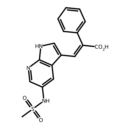 CS(=O)(=O)Nc1cnc2[nH]cc(C=C(C(=O)O)c3ccccc3)c2c1